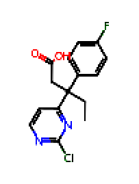 CCC(CC(=O)O)(c1ccc(F)cc1)c1ccnc(Cl)n1